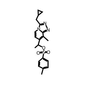 Cc1ccc(S(=O)(=O)OC(C)c2ccn3c(CC4CC4)nnc3c2C)cc1